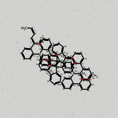 C=C/C(=C\C=C/C)c1ccccc1N(c1ccc2c(c1)C(c1ccccc1)(C1(c3ccccc3)c3ccccc3-c3ccc(N(c4ccccc4-c4cccc(C)c4)c4ccccc4-c4cccc(C)c4C)cc31)c1ccccc1-2)c1ccccc1-c1cccc(C)c1